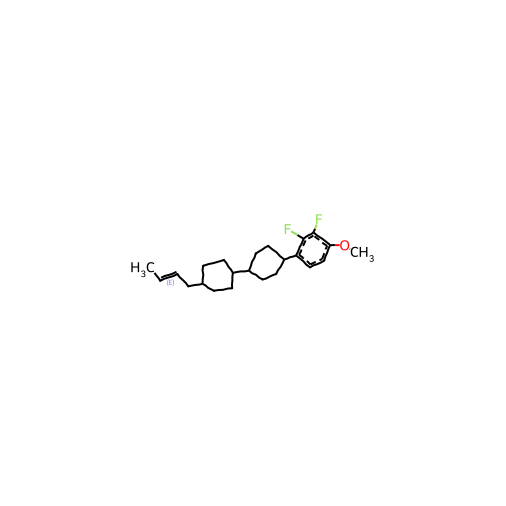 C/C=C/CC1CCC(C2CCC(c3ccc(OC)c(F)c3F)CC2)CC1